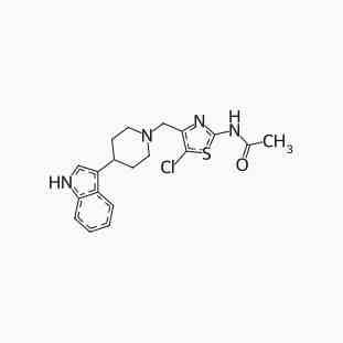 CC(=O)Nc1nc(CN2CCC(c3c[nH]c4ccccc34)CC2)c(Cl)s1